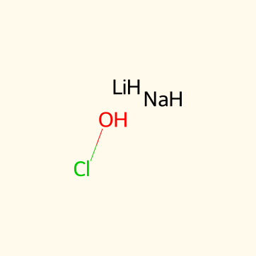 OCl.[LiH].[NaH]